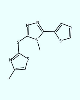 Cc1csc(Sc2nnc(-c3cccs3)n2C)n1